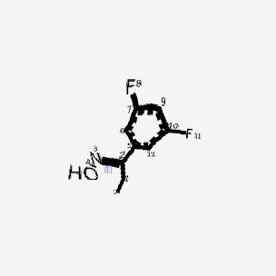 CC/C(=N\O)c1cc(F)cc(F)c1